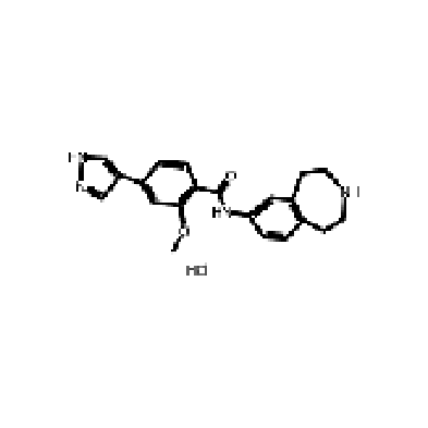 COc1cc(-c2cn[nH]c2)ccc1C(=O)Nc1ccc2c(c1)CCNCC2.Cl